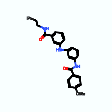 COc1ccc(C(=O)Nc2cccc(Nc3cccc(C(=O)NCCC(C)C)c3)c2)cc1